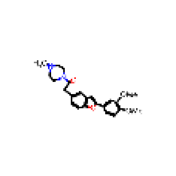 COc1ccc(-c2cc3cc(CC(=O)N4CCN(C)CC4)ccc3o2)cc1OC